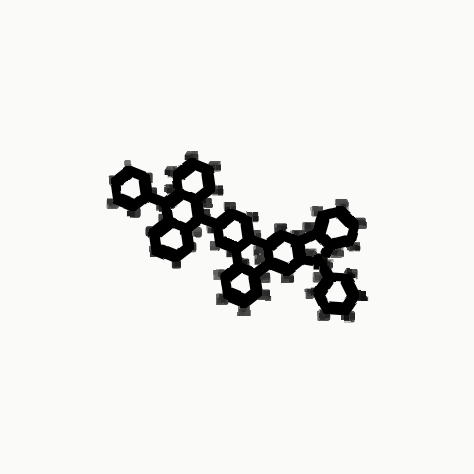 c1ccc(-c2c3ccccc3c(-c3ccc4c(c3)c3ccccc3c3cc5c(cc43)c3ccccc3n5-c3ccccc3)c3ccccc23)cc1